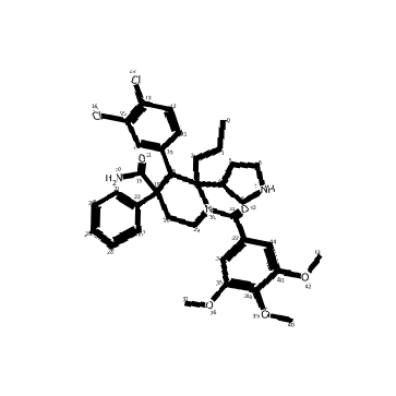 CCCC1(C2CCNC2)C(c2ccc(Cl)c(Cl)c2)C(C(N)=O)(c2ccccc2)CCN1C(=O)c1cc(OC)c(OC)c(OC)c1